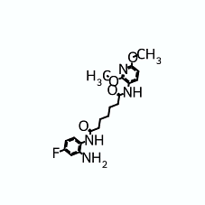 COc1ccc(NC(=O)CCCCCC(=O)Nc2ccc(F)cc2N)c(OC)n1